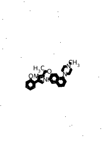 COc1ccccc1-c1c[nH]c(C(C)Oc2ccc3cccc(N4CCN(C)CC4)c3c2)c1